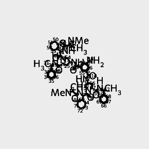 CN[C@@H](C)C(=O)N[C@H](C(=O)N1C[C@@H](NC(=O)c2cc(N)cc(C(=O)N[C@H]3C[C@@H](C(=O)N[C@H](C)c4ccccc4)N(C(=O)[C@@H](NC(=O)[C@H](C)NC)C4CCCCC4)C3)c2)C[C@H]1C(=O)N[C@H](C)c1ccccc1)C1CCCCC1